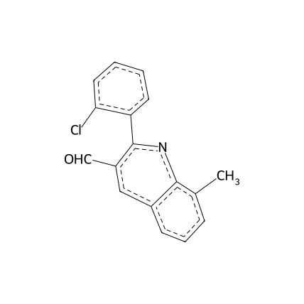 Cc1cccc2cc(C=O)c(-c3ccccc3Cl)nc12